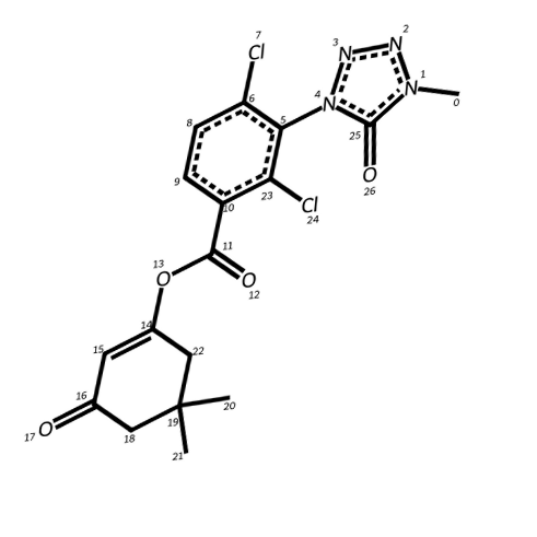 Cn1nnn(-c2c(Cl)ccc(C(=O)OC3=CC(=O)CC(C)(C)C3)c2Cl)c1=O